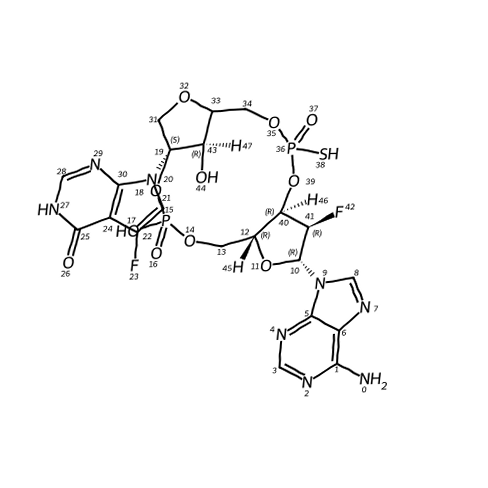 Nc1ncnc2c1ncn2[C@@H]1O[C@@H]2COP(=O)(O)O[C@@]3(n4cc(F)c5c(=O)[nH]cnc54)COC(COP(=O)(S)O[C@H]2[C@H]1F)[C@H]3O